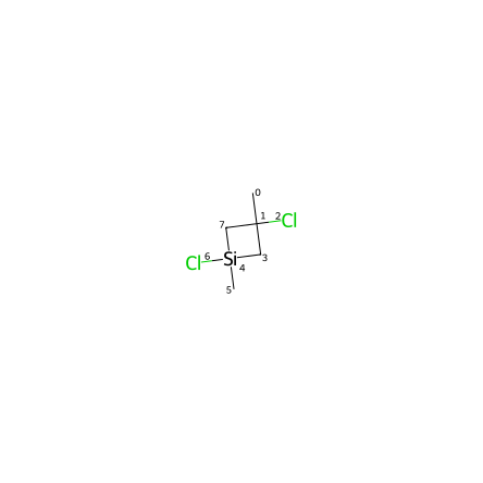 CC1(Cl)C[Si](C)(Cl)C1